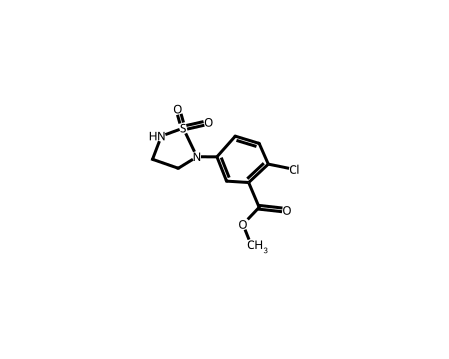 COC(=O)c1cc(N2CCNS2(=O)=O)ccc1Cl